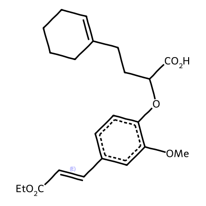 CCOC(=O)/C=C/c1ccc(OC(CCC2=CCCCC2)C(=O)O)c(OC)c1